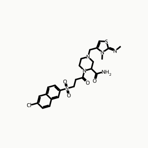 C/N=c1\scc(CN2CCN(C(=O)CCS(=O)(=O)c3ccc4cc(Cl)ccc4c3)C(C(N)=O)C2)n1C